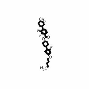 C=CCCCOc1ccc(C2CCC(OC(=O)c3ccc(C4CCC(C)CC4)c(F)c3F)CC2)c(F)c1